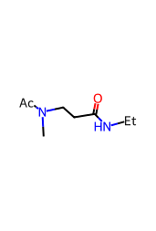 CCNC(=O)CCN(C)C(C)=O